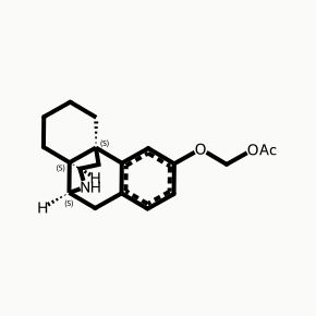 CC(=O)OCOc1ccc2c(c1)[C@]13CCCC[C@@H]1[C@H](C2)NCC3